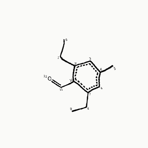 CCc1cc(C)cc(CC)c1C=O